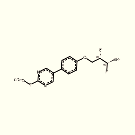 CCCCCCCCCCSc1ncc(-c2ccc(OC[C@H](F)[C@@H](F)CCC)cc2)cn1